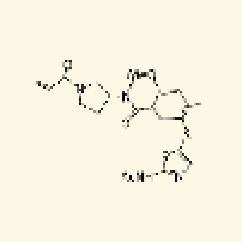 C=CC(=O)N1CC[C@@H](N(C)C(=O)C2CC(Sc3cnc(NC(C)=O)s3)=C(C)C=C2OC)C1